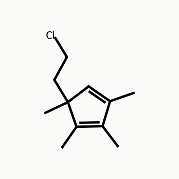 CC1=CC(C)(CCCl)C(C)=C1C